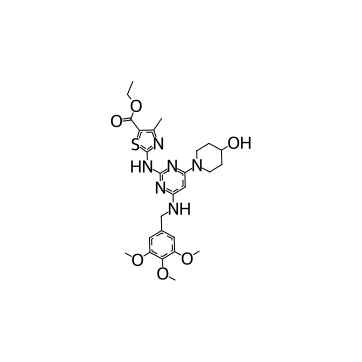 CCOC(=O)c1sc(Nc2nc(NCc3cc(OC)c(OC)c(OC)c3)cc(N3CCC(O)CC3)n2)nc1C